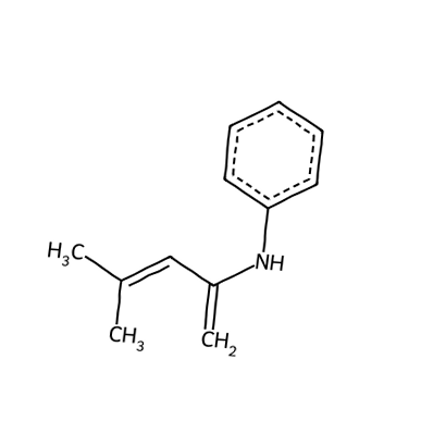 C=C(C=C(C)C)Nc1ccccc1